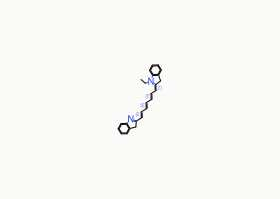 CCN1\C(=C/C=C/C=C/C=C/C2=Nc3ccccc3C2)Cc2ccccc21